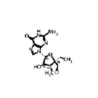 CC[C@@]1(CCl)O[C@@H](n2cnc3c(=O)[nH]c(N)nc32)[C@H](O)[C@@H]1C